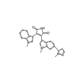 Cn1nccc1-c1ccc2c(C3=C(c4cn(C)c5ccccc45)C(=O)NC3=O)cn(C)c2c1